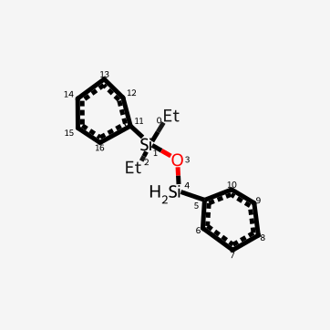 CC[Si](CC)(O[SiH2]c1ccccc1)c1ccccc1